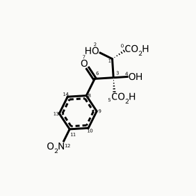 O=C(O)[C@@H](O)[C@](O)(C(=O)O)C(=O)c1ccc([N+](=O)[O-])cc1